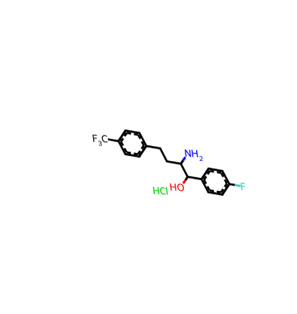 Cl.NC(CCc1ccc(C(F)(F)F)cc1)C(O)c1ccc(F)cc1